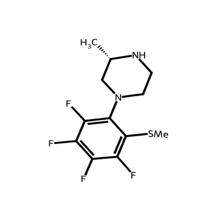 CSc1c(F)c(F)c(F)c(F)c1N1CCN[C@@H](C)C1